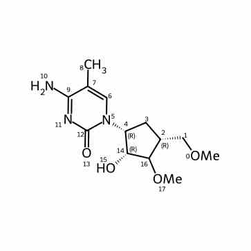 COC[C@H]1C[C@@H](n2cc(C)c(N)nc2=O)[C@@H](O)C1OC